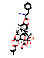 COC(=O)[C@@]12OC[C@H]3C4[C@@H](C[C@H]5C(C)=C(OC(=O)[C@@H](N)Cc6ccccc6)C(=O)C[C@]5(C)C3[C@@H](O)[C@@H]1O)OC(=O)[C@H](OC(=O)C=C(C)C)[C@H]42